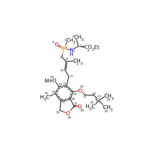 CCOC(=O)[C@H](C)NP(C)(=O)C/C(C)=C/Cc1c(OC)c(C)c2c(c1OCC[Si](C)(C)C)C(=O)OC2